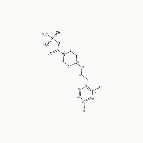 CC(C)(C)OC(=O)N1CCC(CCCc2ccc(F)cc2F)CC1